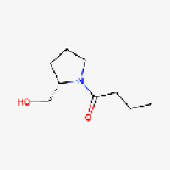 CCCC(=O)N1CCC[C@H]1CO